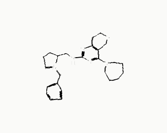 c1ccc(CN2CCCC2CNc2nc3c(c(N4CCCCCC4)n2)CNCC3)cc1